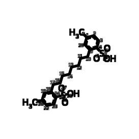 Cc1ccc(S(=O)(=O)O)c(CCCCCCCCc2cc(C)ccc2S(=O)(=O)O)c1